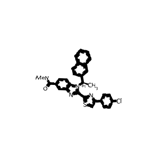 CNC(=O)c1ccc2c(c1)nc(-c1nc(-c3ccc(Cl)cc3)cs1)n2[C@H](C)c1ccc2ccccc2c1